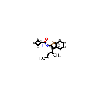 C=C(CCC)c1c(NC(=O)C2CCC2)sc2c1CCCC2